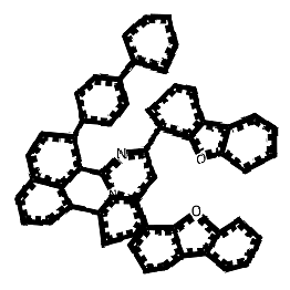 c1ccc(-c2ccc(-c3ccc4cccc(-c5ccccc5)c4c3-c3nc(-c4cccc5c4oc4ccccc45)cc(-c4cccc5c4oc4ccccc45)n3)cc2)cc1